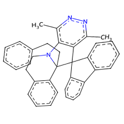 Cc1nnc(C)c2c1N1CCc3ccccc3C1(CCc1ccccc1)C21c2ccccc2-c2ccccc21